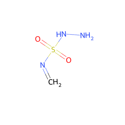 C=NS(=O)(=O)NN